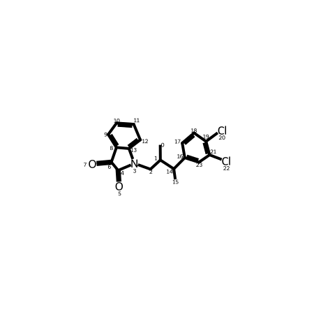 CC(CN1C(=O)C(=O)c2ccccc21)C(C)c1ccc(Cl)c(Cl)c1